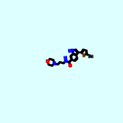 CC(=O)c1ccc(-c2c[nH]c3cc(C(=O)NCCCN4CCOCC4)ccc23)s1